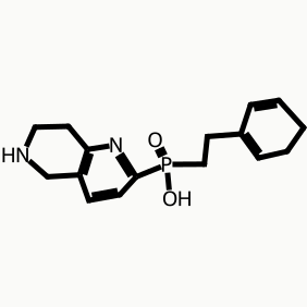 O=P(O)(CCC1=CCCC=C1)c1ccc2c(n1)CCNC2